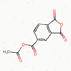 CC(=O)OC(=O)c1ccc2c(c1)C(=O)OC2=O